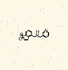 O=S1(=O)C=Cc2c(CNCc3cccnc3)cccc21